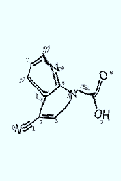 N#Cc1cn(C(=O)O)c2ncccc12